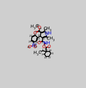 CCC1(C(=O)ONC(=O)C2=C(C)NC(C)=C(C(=O)OC)C2c2cccc([N+](=O)[O-])c2)CCCCC1